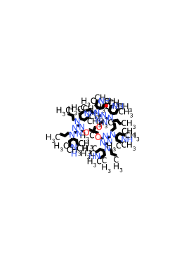 CCCCN(c1nc(OCC(C)(COc2nc(N(CCCC)C3CC(C)(C)NC(C)(C)C3)nc(N(CCCC)C3CC(C)(C)NC(C)(C)C3)n2)COc2nc(N(CCCC)C3CC(C)(C)NC(C)(C)C3)nc(N(CCCC)C3CC(C)(C)NC(C)(C)C3)n2)nc(N(CCCC)C2CC(C)(C)NC(C)(C)C2)n1)C1CC(C)(C)NC(C)(C)C1